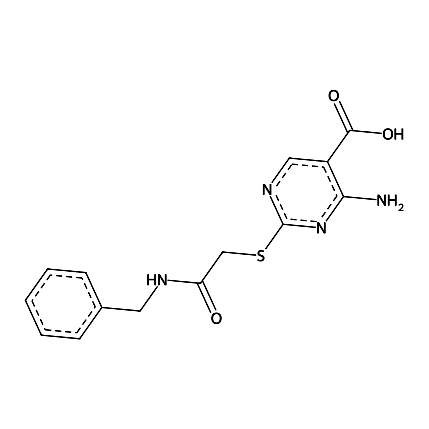 Nc1nc(SCC(=O)NCc2ccccc2)ncc1C(=O)O